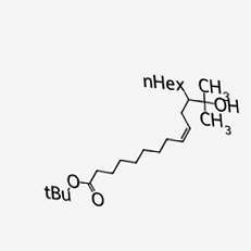 CCCCCCC(C/C=C\CCCCCCCC(=O)OC(C)(C)C)C(C)(C)O